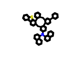 c1ccc(-c2ccc3c(c2)Cc2ccccc2-c2c(ccc4c2sc2ccccc24)Cc2cc(N(c4cccc5ccccc45)c4cccc5ccccc45)ccc2-3)cc1